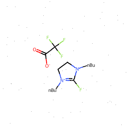 CCCCN1CC[N+](CCCC)=C1F.O=C([O-])C(F)(F)F